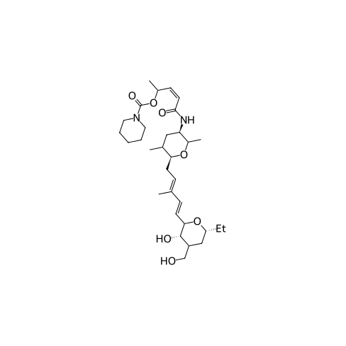 CC[C@@H]1CC(CO)[C@H](O)C(/C=C/C(C)=C/C[C@@H]2OC(C)[C@H](NC(=O)/C=C\C(C)OC(=O)N3CCCCC3)CC2C)O1